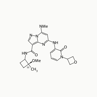 CNc1cc(Nc2cccn(C3COC3)c2=O)nc2c(C(=O)NC3CC[C@]3(C)OC)cnn12